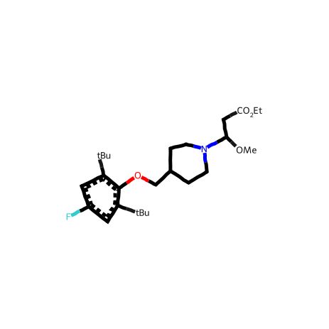 CCOC(=O)CC(OC)N1CCC(COc2c(C(C)(C)C)cc(F)cc2C(C)(C)C)CC1